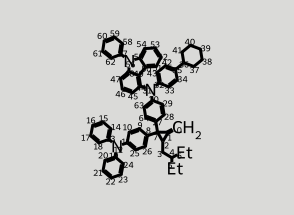 C=C1C(CC(CC)CC)C1(c1ccc(N(c2ccccc2)c2ccccc2)cc1)c1ccc(N(c2ccc(C3CCCCC3)cc2)c2cccc3c2c2ccccc2n3-c2ccccc2)cc1